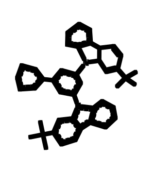 CC(C)(C)C1=CC2C(C=C1)c1ccccc1N2c1cc(-c2ccccc2)cc(-n2c3ccccc3c3ccc(C(C)(C)C)cc32)c1